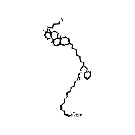 CCCCC/C=C\C/C=C\CCCCCCCCOCOCC(CCCCCCCC1CCC2(C)C(=CCC3(C)C2CCC2(C)C3CC[C@]2(C)[C@H](C)CCCC(C)C)C1)CN1CCCCC1